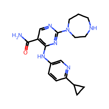 NC(=O)c1cnc(N2CCCNCC2)nc1Nc1ccc(C2CC2)nc1